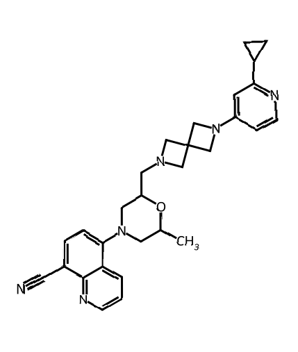 CC1CN(c2ccc(C#N)c3ncccc23)CC(CN2CC3(C2)CN(c2ccnc(C4CC4)c2)C3)O1